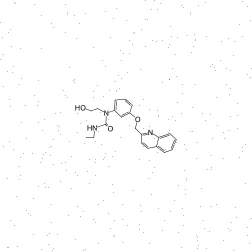 CCNC(=O)N(CCO)c1cccc(OCc2ccc3ccccc3n2)c1